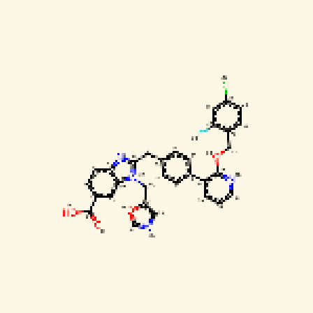 O=C(O)c1ccc2nc(Cc3ccc(-c4cccnc4OCc4ccc(Cl)cc4F)cc3)n(Cc3cnco3)c2c1